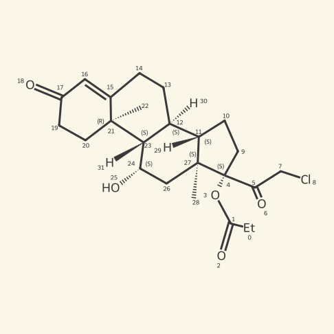 CCC(=O)O[C@@]1(C(=O)CCl)CC[C@H]2[C@@H]3CCC4=CC(=O)CC[C@]4(C)[C@H]3[C@@H](O)C[C@@]21C